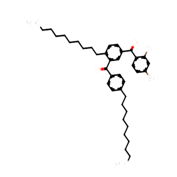 CCCCCCCCCCc1ccc(C(=O)c2cc(C(=O)c3ccc(Br)cc3Br)ccc2CCCCCCCCCC)cc1